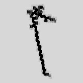 CCC=CCC=CCC=CCC=CCC=CCC=CCCC(=O)NCC(=O)OC(C)C(NC(=O)C=CC(=O)OC)C(=O)OC